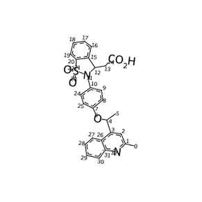 Cc1cc(C(C)Oc2ccc(N3C(CC(=O)O)c4ccccc4S3(=O)=O)cc2)c2ccccc2n1